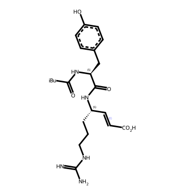 CCC(C)C(=O)N[C@@H](Cc1ccc(O)cc1)C(=O)N[C@H](/C=C/C(=O)O)CCCNC(=N)N